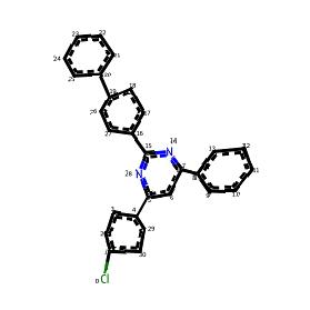 Clc1ccc(-c2cc(-c3ccccc3)nc(-c3ccc(-c4ccccc4)cc3)n2)cc1